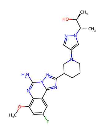 COc1cc(F)cc2c1nc(N)n1nc(C3CCCN(c4cnn([C@@H](C)[C@H](C)O)c4)C3)nc21